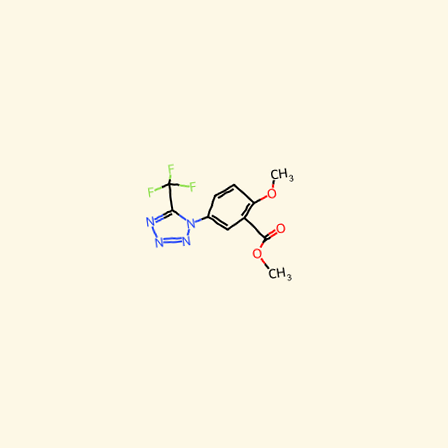 COC(=O)c1cc(-n2nnnc2C(F)(F)F)ccc1OC